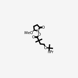 CCCC(C)(C)OCCC(C)(C)C(=O)ON1C(=O)CC[C@@H]1OC